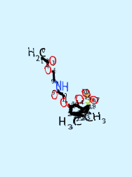 C=CC(=O)OCCNC(=O)COC1C2OS(=O)(=O)C3CC1C(C)(C)C23